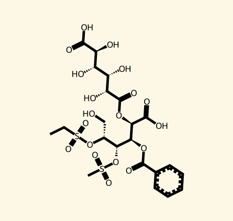 CCS(=O)(=O)O[C@H](CO)[C@@H](OS(C)(=O)=O)[C@H](OC(=O)c1ccccc1)[C@@H](OC(=O)[C@H](O)[C@@H](O)[C@H](O)[C@H](O)C(=O)O)C(=O)O